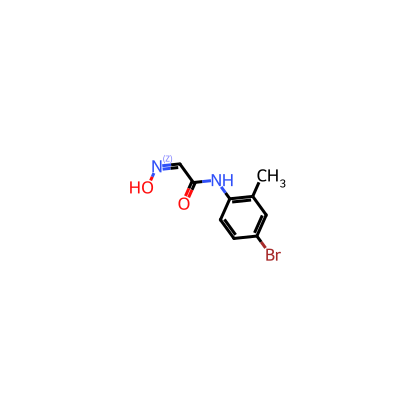 Cc1cc(Br)ccc1NC(=O)/C=N\O